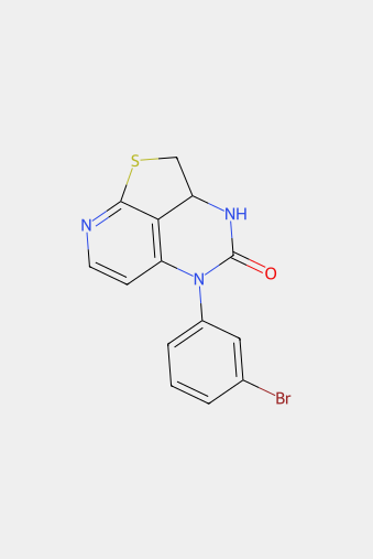 O=C1NC2CSc3nccc(c32)N1c1cccc(Br)c1